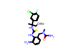 COCC(C)(NC(=S)Nc1c(N)cccc1CN(C)C(N)=O)c1ccc(F)c(Cl)c1